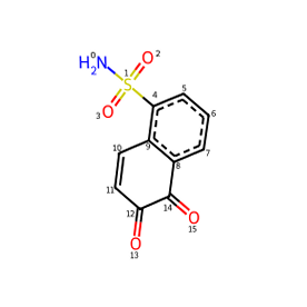 NS(=O)(=O)c1cccc2c1C=CC(=O)C2=O